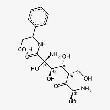 CCC[C@H](N)C(=O)[C@@H](CO)[C@@H](O)[C@@H](O)[C@](N)(O)C(=O)NC(CC(=O)O)c1ccccc1